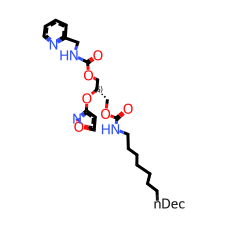 CCCCCCCCCCCCCCCCCNC(=O)OC[C@@H](COC(=O)NCc1ccccn1)Oc1ccon1